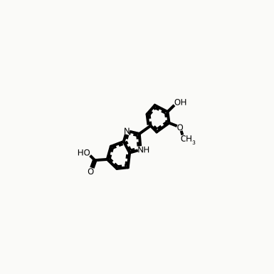 COc1cc(-c2nc3cc(C(=O)O)ccc3[nH]2)ccc1O